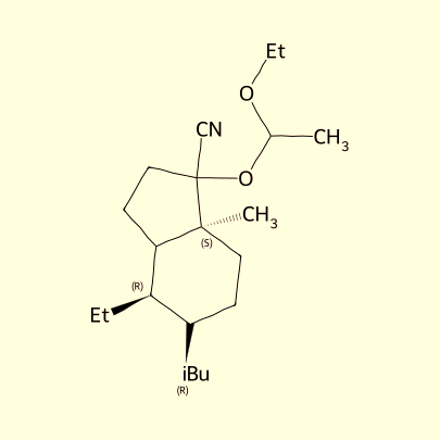 CCOC(C)OC1(C#N)CCC2[C@H](CC)C([C@H](C)CC)CC[C@@]21C